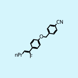 CCCC=C(F)c1ccc(OCc2ccc(C#N)cc2)cc1